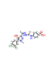 CC(=NNC(=S)Nc1ccc(C(=O)O)cc1)c1nn(C)c(-c2ccc(Cl)c(Cl)c2)c1O